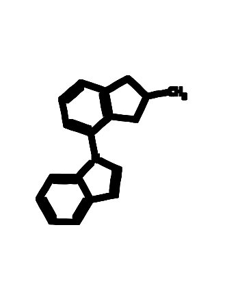 CC1Cc2cccc(-n3ccc4ccccc43)c2C1